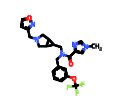 Cn1cnc(C(=O)N(Cc2cccc(OC(F)(F)F)c2)CC2C3CN(Cc4ccon4)CC32)c1